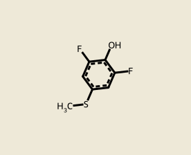 CSc1cc(F)c(O)c(F)c1